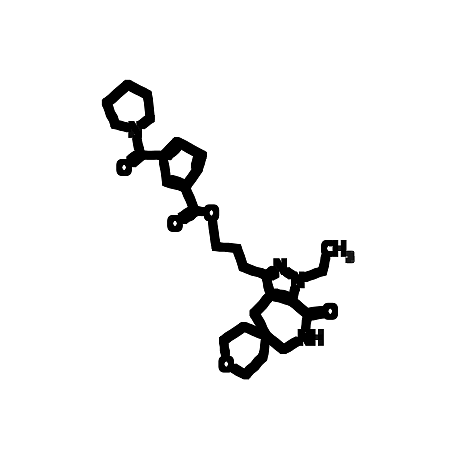 CCn1nc(CCCOC(=O)c2cccc(C(=O)N3CCCCC3)c2)c2c1C(=O)NCC1(CCOCC1)C2